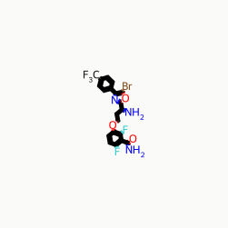 NC(=O)c1c(F)ccc(OCCC(N)c2nc(-c3ccc(C(F)(F)F)cc3)c(Br)o2)c1F